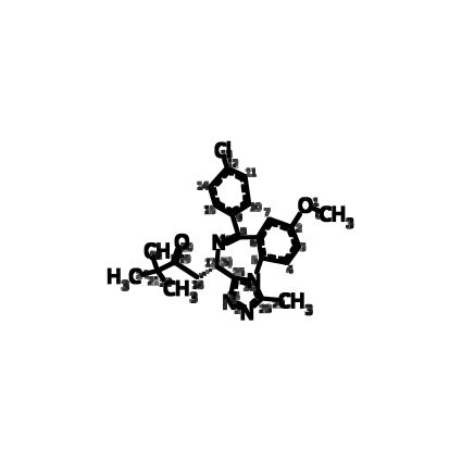 COc1ccc2c(c1)C(c1ccc(Cl)cc1)=N[C@@H](CC(=O)C(C)(C)C)c1nnc(C)n1-2